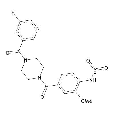 COc1cc(C(=O)N2CCN(C(=O)c3cncc(F)c3)CC2)ccc1N[SH](=O)=O